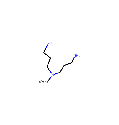 CCCCCN(CCCN)CCCN